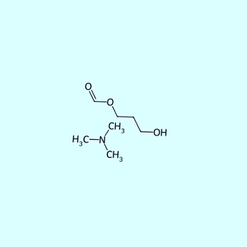 CN(C)C.O=COCCCO